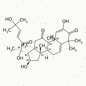 CC(C)(O)C=CC(=O)[C@](C)(O)[C@H]1[C@H](O)C[C@@]2(C)[C@@H]3CC=C4[C@@H](C=C(O)C(=O)C4(C)C)[C@]3(C)C(=O)C[C@]12C